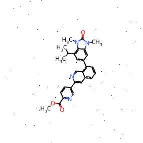 COC(=O)c1ccc(-c2cc3cccc(-c4cc(C(C)C)c5c(c4)n(C)c(=O)n5C)c3cn2)cn1